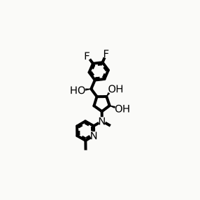 Cc1cccc(N(C)C2CC([C@@H](O)c3ccc(F)c(F)c3)[C@@H](O)[C@H]2O)n1